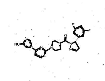 N#Cc1cn(-c2ccnc(N3CCN(C(=O)N4N=CC[C@H]4c4cc(F)cc(F)c4)CC3)n2)cn1